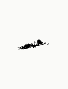 COc1cc(NC(C)CCCNC(=O)CCC(=O)O[C@H]2CC[C@H]3[C@@H]4CC[C@H]5CC(O[Si](C)(C)C(C)(C)C)CC[C@]5(C)[C@H]4CC[C@]23C)c2ncccc2c1